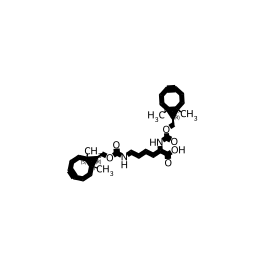 C[C@@]12CCC#CCC[C@]1(C)[C@@H]2COC(=O)NCCCCC(NC(=O)OC[C@@H]1[C@]2(C)CCC#CCC[C@]12C)C(=O)O